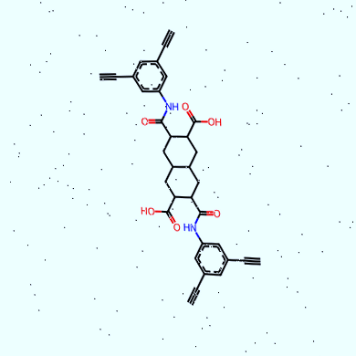 C#Cc1cc(C#C)cc(NC(=O)C2CC3CC(C(=O)O)C(C(=O)Nc4cc(C#C)cc(C#C)c4)CC3CC2C(=O)O)c1